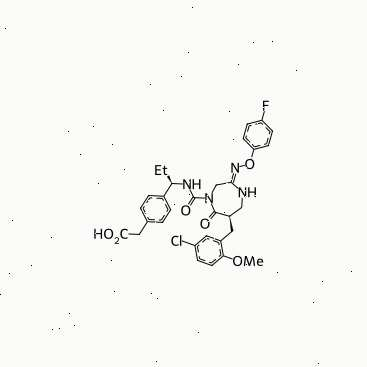 CC[C@@H](NC(=O)N1C/C(=N/Oc2ccc(F)cc2)NC[C@@H](Cc2cc(Cl)ccc2OC)C1=O)c1ccc(CC(=O)O)cc1